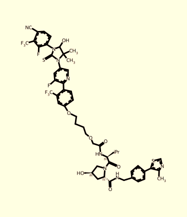 Cc1ncsc1-c1ccc(CNC(=O)[C@@H]2C[C@@H](O)CN2C(=O)[C@@H](NC(=O)COCCCCOc2ccc(-c3ncc(N4C(=S)N(c5ccc(C#N)c(C(F)(F)F)c5F)C(O)C4(C)C)cc3F)c(C(F)(F)F)c2)C(C)C)cc1